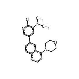 CN(C)c1cc(-c2ccc3nccc(N4CCOCC4)c3c2)cnc1Cl